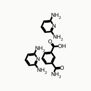 NC(=O)c1cccc(C(=O)O)c1.Nc1cccc(N)n1.Nc1cccc(N)n1